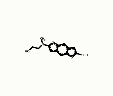 CN(CCO)c1cc2cc3sc(C=O)cc3cc2s1